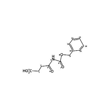 O=C(O)CCC(=O)NC(=O)OCc1ccccc1